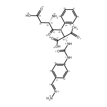 CC(=O)[C@@](NC(=O)Nc1ccc(C=NN)cc1)(C(=O)O)N(C(=O)[C@@H](N)CC(=O)O)c1ccccc1